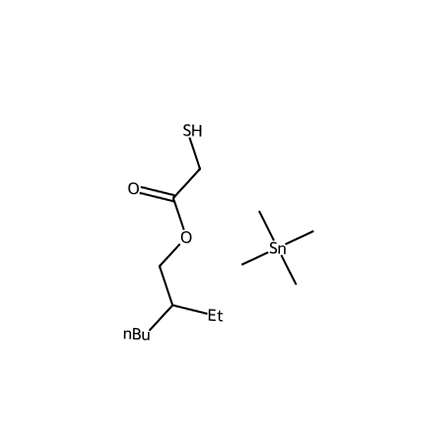 CCCCC(CC)COC(=O)CS.[CH3][Sn]([CH3])([CH3])[CH3]